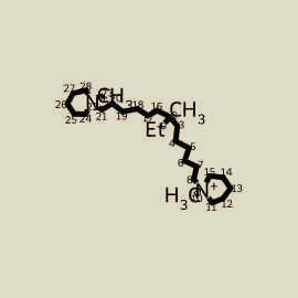 CCC(C)(CCCCCC[N+]1(C)CCCCC1)CCCCCC[N+]1(C)CCCCC1